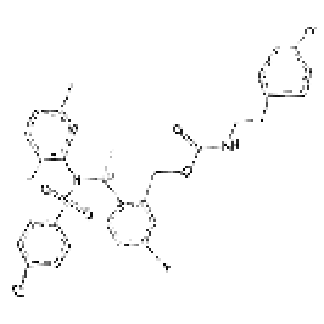 C[C@H](c1ccc(F)cc1COC(=O)NCCc1ccc(Cl)cc1)N(c1cc(F)ccc1F)S(=O)(=O)c1ccc(Cl)cc1